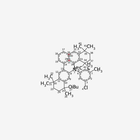 Cc1cc(Cl)cc(N(c2cc3c(cc2-c2ccccc2)C(C)(C)CCC3(C)OCC(C)C)c2cccc3c2C(C)(C)CCC3(C)C)c1